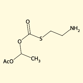 CC(=O)OC(C)OC(=O)SCCN